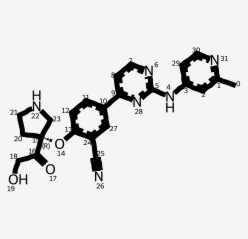 Cc1cc(Nc2nccc(-c3ccc(O[C@]4(C(=O)CO)CCNC4)c(C#N)c3)n2)ccn1